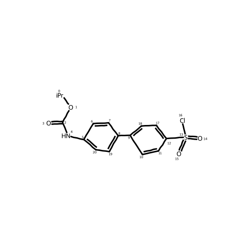 CC(C)OC(=O)Nc1ccc(-c2ccc(S(=O)(=O)Cl)cc2)cc1